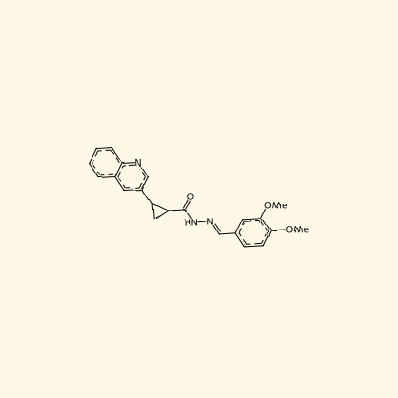 COc1ccc(C=NNC(=O)C2CC2c2cnc3ccccc3c2)cc1OC